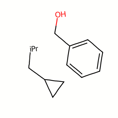 CC(C)CC1CC1.OCc1ccccc1